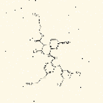 CC[C@@H]1C[C@H](Nc2ncc(OCCOC)cc2Cc2cc(C(F)(F)F)cc(C(F)(F)F)c2)c2nc(OC)ccc2N1C(=O)OCCCCC(=O)O